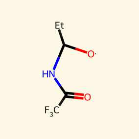 CCC([O])NC(=O)C(F)(F)F